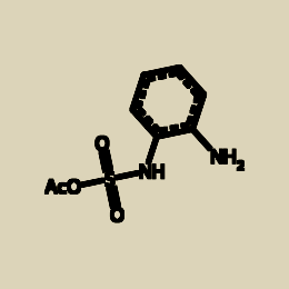 CC(=O)OS(=O)(=O)Nc1ccccc1N